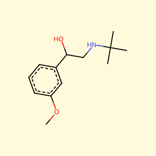 COc1cccc(C(O)CNC(C)(C)C)c1